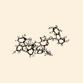 CCCCNC(=O)C(CC(=O)O)[C@@H](CC(=O)NC(c1ccccc1)(c1ccccc1)c1ccccc1)NC(=O)OCC1c2ccccc2-c2ccccc21